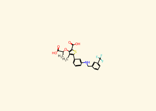 Cc1c(-c2cccc(NCc3cccc(C(F)(F)F)c3)c2)sc(C(=O)O)c1OC(C)C(=O)O